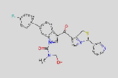 CN(CO)C(=O)n1cc(C(=O)c2ccn3c2CSC3c2cccnc2)c2ccc(-c3ccc(F)cc3)cc21